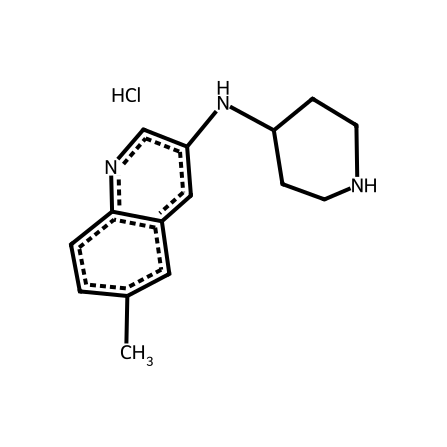 Cc1ccc2ncc(NC3CCNCC3)cc2c1.Cl